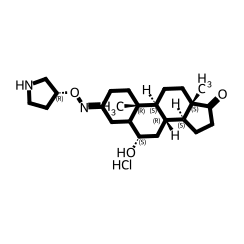 C[C@]12CCC(=NO[C@@H]3CCNC3)CC1[C@@H](O)C[C@@H]1[C@@H]2CC[C@]2(C)C(=O)CC[C@@H]12.Cl